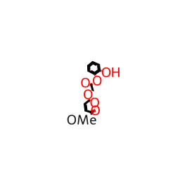 COC(=O)/C=C\C(=O)OCC(=O)Oc1ccccc1O